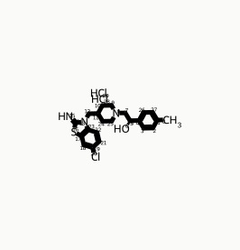 Cc1ccc([C@@H](O)CN2CCC(Cn3c(=N)sc4cc(Cl)ccc43)CC2)cc1.Cl.Cl